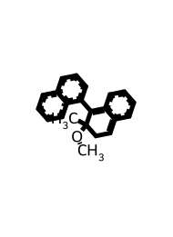 COC1(C)CC=c2ccccc2=C1c1cccc2ccccc12